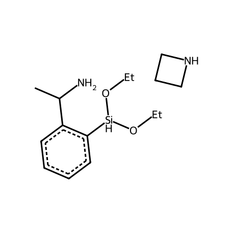 C1CNC1.CCO[SiH](OCC)c1ccccc1C(C)N